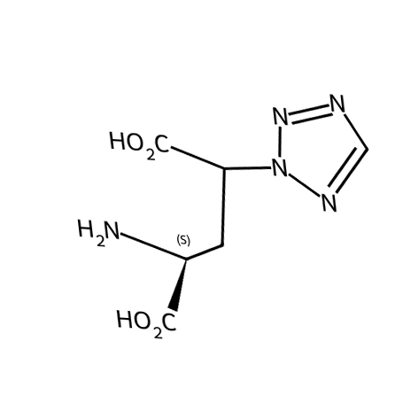 N[C@@H](CC(C(=O)O)n1ncnn1)C(=O)O